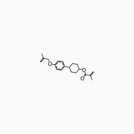 C=C(C)COc1ccc(C2CCC(OC(=O)C(=C)C)CC2)cc1